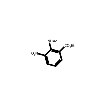 CCOC(=O)c1cccc([N+](=O)[O-])c1NC(C)=O